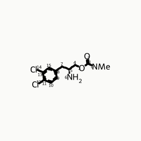 CNC(=O)OC[C@@H](N)Cc1ccc(Cl)c(Cl)c1